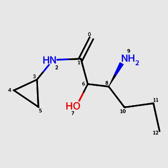 C=C(NC1CC1)C(O)[C@@H](N)CCC